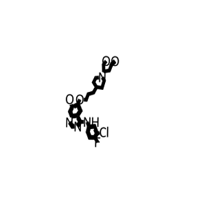 COc1cc2ncnc(Nc3ccc(F)c(Cl)c3)c2cc1OCCCC1CCN(C2COC(=O)C2)CC1